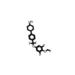 CCCC1CCC(c2ccc(C(F)(F)Oc3cc(F)c(OCF)c(F)c3)cc2)CC1